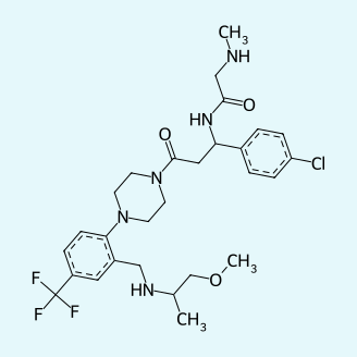 CNCC(=O)NC(CC(=O)N1CCN(c2ccc(C(F)(F)F)cc2CNC(C)COC)CC1)c1ccc(Cl)cc1